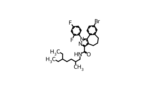 CCC(CC)CCC(C)CNC(=O)c1nn(-c2ccc(F)cc2F)c2c1CCCc1cc(Br)ccc1-2